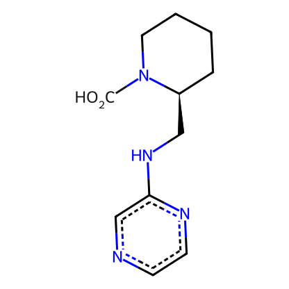 O=C(O)N1CCCC[C@H]1CNc1cnccn1